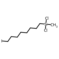 C[Si](Cl)(Cl)CCCCCCCCI